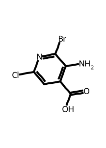 Nc1c(C(=O)O)cc(Cl)nc1Br